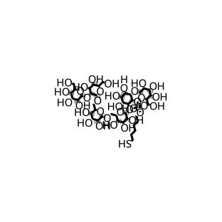 O=P(O)(OCCCCCCS)O[C@H]1C(O[C@H]2OC(CO[C@H]3OC(CO[C@H]4OC(CO)[C@@H](O)C(O)[C@H]4O[C@H]4OC(CO)[C@@H](O)C(O)[C@H]4O)[C@@H](O)C(O)[C@H]3O)[C@@H](O)C(O)[C@H]2O)C(O)[C@H](O)[C@@H](O)C1O[C@H]1OC(CO)[C@@H](O)[C@H](O)C1O